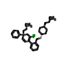 CCCC1(c2ccccc2)C=CC(c2ccccc2CC[C@H]2CC[C@H](CCC)CC2)=C(F)C1